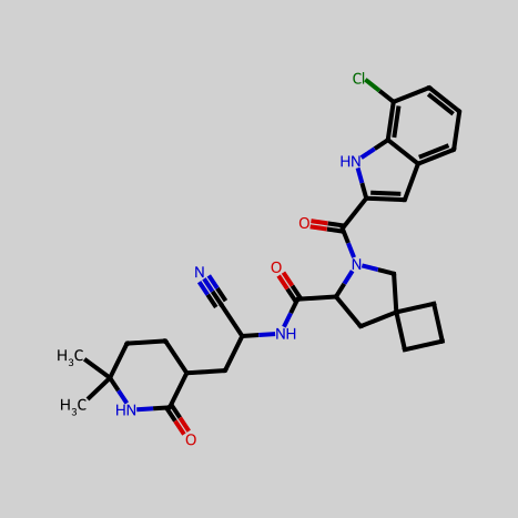 CC1(C)CCC(CC(C#N)NC(=O)C2CC3(CCC3)CN2C(=O)c2cc3cccc(Cl)c3[nH]2)C(=O)N1